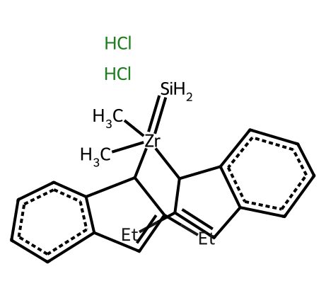 CCC1=Cc2ccccc2[CH]1[Zr]([CH3])([CH3])(=[SiH2])[CH]1C(CC)=Cc2ccccc21.Cl.Cl